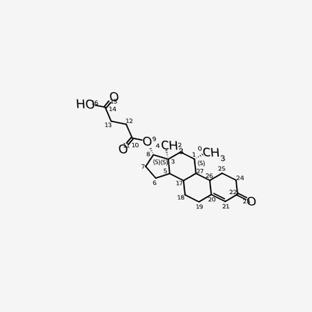 C[C@H]1C[C@@]2(C)C(CC[C@@H]2OC(=O)CCC(=O)O)C2CCC3=CC(=O)CCC3C21